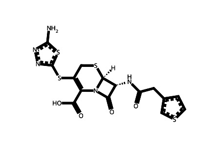 Nc1nnc(SC2=C(C(=O)O)N3C(=O)[C@@H](NC(=O)Cc4ccsc4)[C@@H]3SC2)s1